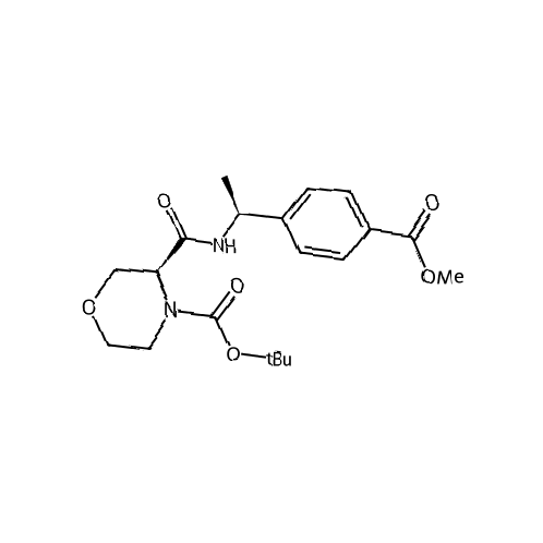 COC(=O)c1ccc([C@H](C)NC(=O)[C@@H]2COCCN2C(=O)OC(C)(C)C)cc1